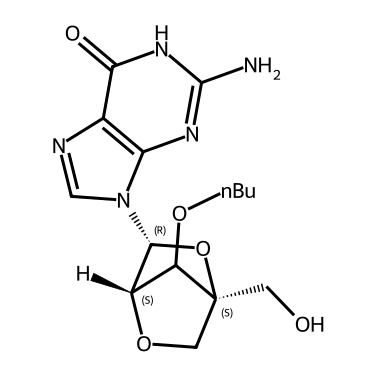 CCCCOC1[C@@H]2OC[C@]1(CO)O[C@H]2n1cnc2c(=O)[nH]c(N)nc21